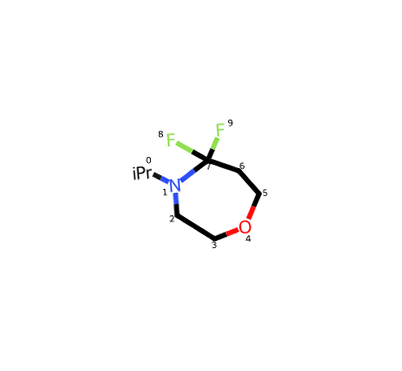 CC(C)N1CCOCCC1(F)F